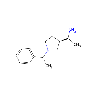 CC(N)[C@@H]1CCN([C@H](C)c2ccccc2)C1